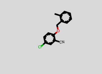 Cc1ccccc1COc1ccc(Cl)cc1C#N